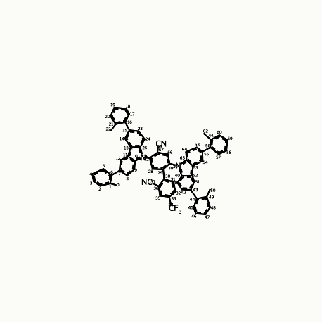 Cc1ccccc1-c1ccc2c(c1)c1cc(-c3ccccc3C)ccc1n2-c1cc(-c2ccc(C(F)(F)F)cc2C#N)c(-n2c3ccc(-c4ccccc4C)cc3c3cc(-c4ccccc4C)ccc32)cc1C#N